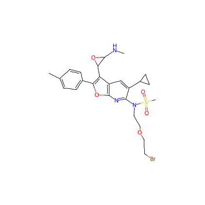 CNC1OC1c1c(-c2ccc(C)cc2)oc2nc(N(CCOCCBr)S(C)(=O)=O)c(C3CC3)cc12